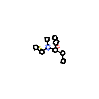 c1ccc(-c2cccc(-c3ccc(-c4nc(-c5ccccc5)nc(-c5cccc6c5sc5ccccc56)n4)c4c3oc3cc5ccccc5cc34)c2)cc1